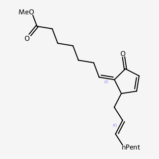 CCCCC/C=C/CC1C=CC(=O)/C1=C\CCCCCC(=O)OC